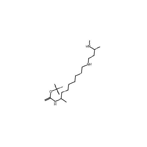 C=C(NC(C)CCCCCCCNCCC(C)NC)OC(C)(C)C